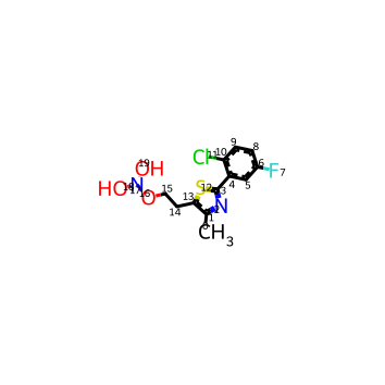 Cc1nc(-c2cc(F)ccc2Cl)sc1CCON(O)O